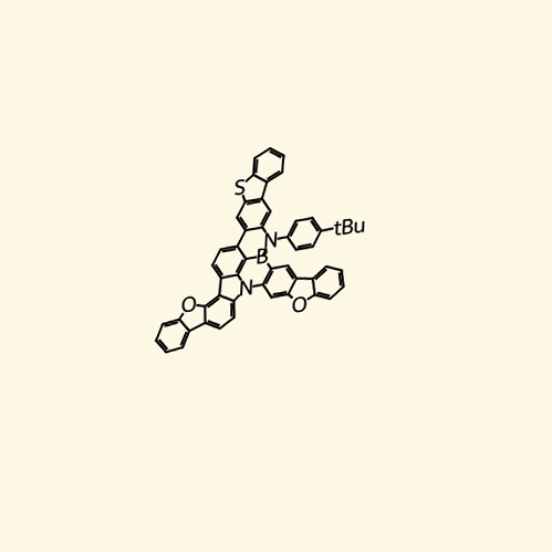 CC(C)(C)c1ccc(N2B3c4cc5c(cc4-n4c6ccc7c8ccccc8oc7c6c6ccc(c3c64)-c3cc4sc6ccccc6c4cc32)oc2ccccc25)cc1